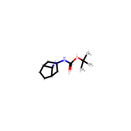 CC(C)(C)OC(=O)NC1CC2CCC(C1)C2N